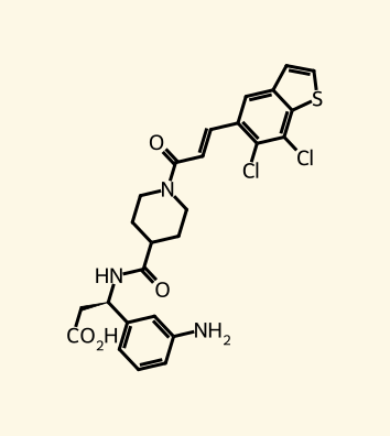 Nc1cccc([C@@H](CC(=O)O)NC(=O)C2CCN(C(=O)/C=C/c3cc4ccsc4c(Cl)c3Cl)CC2)c1